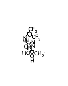 [CH2][C@@H]1C[C@@H](Nc2ncncc2C(=O)c2ccn(Cc3cc(C(F)(F)F)cc(C(F)(F)F)c3)n2)[C@H](O)[C@@H]1O